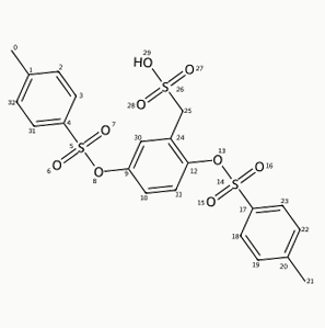 Cc1ccc(S(=O)(=O)Oc2ccc(OS(=O)(=O)c3ccc(C)cc3)c(CS(=O)(=O)O)c2)cc1